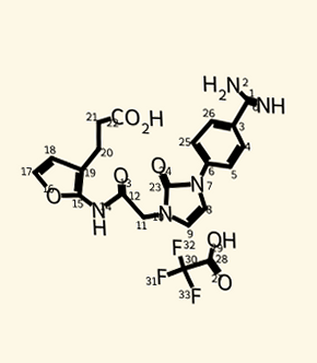 N=C(N)c1ccc(-n2ccn(CC(=O)Nc3occc3CCC(=O)O)c2=O)cc1.O=C(O)C(F)(F)F